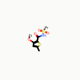 CCOc1cc(C)sc1C(=O)NS(=O)(=O)C(C)C